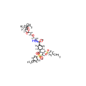 Cc1ccc(S(=O)(=O)CC(CS(=O)(=O)c2ccc(C)cc2)C(=O)c2ccc(C(=O)NCCOCCC(=O)OC(C)(C)C)cc2)cc1